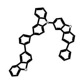 c1ccc(-c2ccc3oc4ccc(-n5c6ccccc6c6cc(-c7cccc(-c8ccc9oc%10ccccc%10c9c8)c7)ccc65)cc4c3c2)cc1